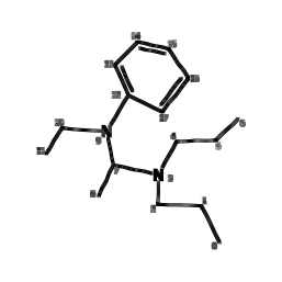 CCCN(CCC)C(C)N(CC)c1ccccc1